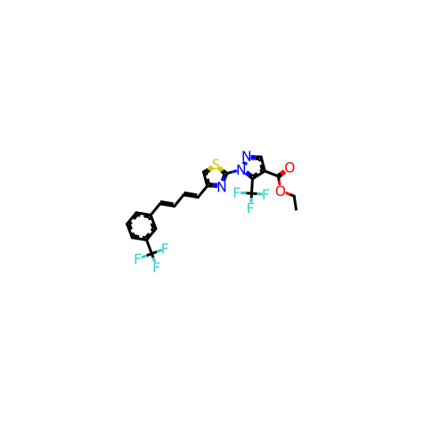 CCOC(=O)c1cnn(-c2nc(C=C/C=C/c3cccc(C(F)(F)F)c3)cs2)c1C(F)(F)F